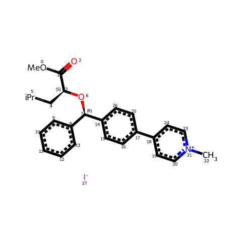 COC(=O)[C@H](CC(C)C)O[C@H](c1ccccc1)c1ccc(-c2cc[n+](C)cc2)cc1.[I-]